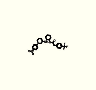 O=C(Cc1ccc(C(F)(F)F)cc1)N[C@@H]1CCCC[C@H]1NC1CCCN(c2ccc([N+](=O)[O-])cc2)C1